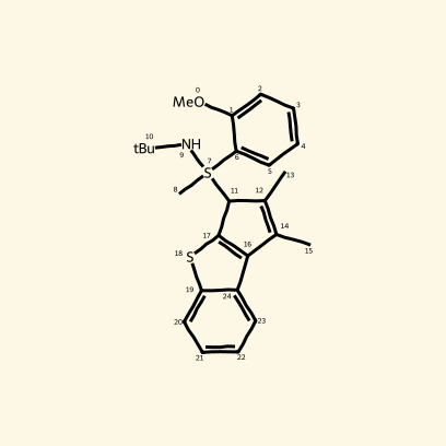 COc1ccccc1S(C)(NC(C)(C)C)C1C(C)=C(C)c2c1sc1ccccc21